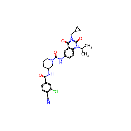 CC(C)n1c(=O)n(CC2CC2)c(=O)c2cc(NC(=O)N3CCCC(NC(=O)c4ccc(C#N)c(Cl)c4)C3)ccc21